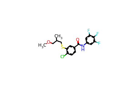 COCC(C)CSc1cc(C(=O)Nc2cc(F)c(F)c(F)c2)ccc1Cl